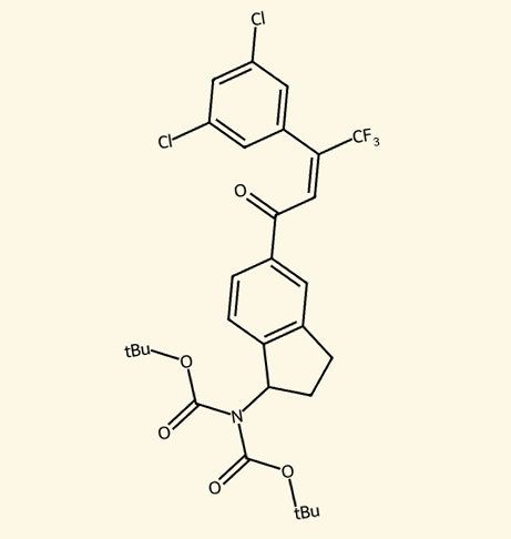 CC(C)(C)OC(=O)N(C(=O)OC(C)(C)C)C1CCc2cc(C(=O)C=C(c3cc(Cl)cc(Cl)c3)C(F)(F)F)ccc21